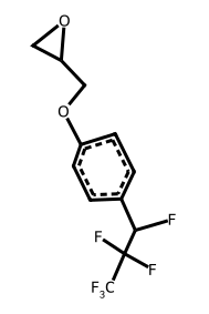 FC(c1ccc(OCC2CO2)cc1)C(F)(F)C(F)(F)F